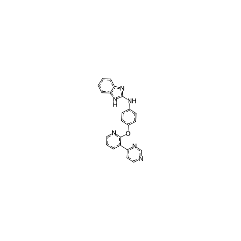 c1cnc(Oc2ccc(Nc3nc4ccccc4[nH]3)cc2)c(-c2ccncn2)c1